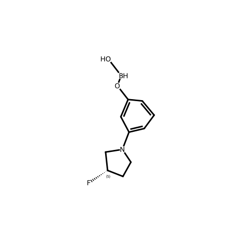 OBOc1cccc(N2CC[C@H](F)C2)c1